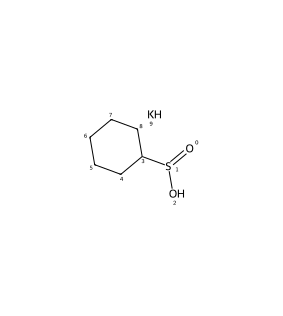 O=S(O)C1CCCCC1.[KH]